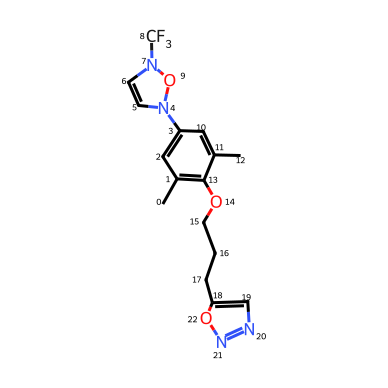 Cc1cc(N2C=CN(C(F)(F)F)O2)cc(C)c1OCCCc1cnno1